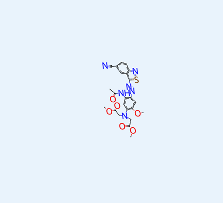 COC(=O)CN(CC(=O)OC)c1cc(NC(C)=O)c(/N=N/c2snc3ccc(C#N)cc23)cc1OC